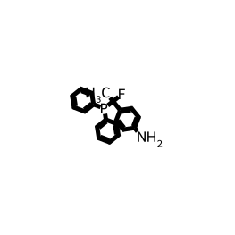 CC(F)(c1ccc(N)cc1)P(c1ccccc1)c1ccccc1